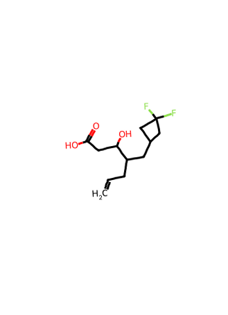 C=CCC(CC1CC(F)(F)C1)C(O)CC(=O)O